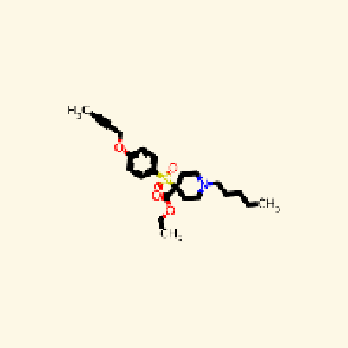 CC#CCOc1ccc(S(=O)(=O)C2(C(=O)OCC)CCN(CCCCC)CC2)cc1